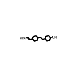 CCCCC=CC1CCC(CCC2CCC(C#N)CC2)CC1